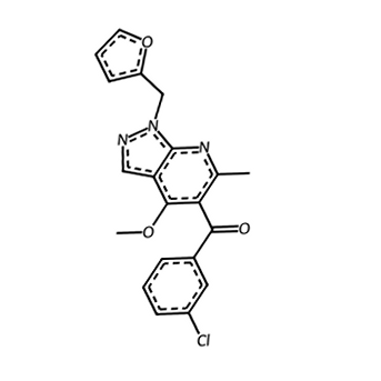 COc1c(C(=O)c2cccc(Cl)c2)c(C)nc2c1cnn2Cc1ccco1